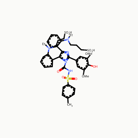 CCN(CCCS(=O)(=O)O)c1ccccc1-c1nc(-c2cc(OC)c(O)c(OC)c2)n(C(=O)NS(=O)(=O)c2ccc(C)cc2)c1-c1ccccc1N(CC)CCCS(=O)(=O)O